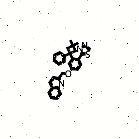 CC1(C)CC(c2ccccc2)(c2cc(OCc3ccc4ccccc4n3)ccc2-c2nncs2)C1